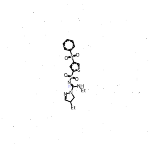 CCN/C(=N\S(=O)(=O)c1cc(S(=O)(=O)c2ccccc2)cs1)N1CC(CC)C=N1